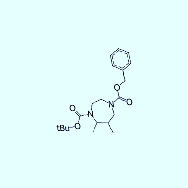 CC1CN(C(=O)OCc2ccccc2)CCN(C(=O)OC(C)(C)C)C1C